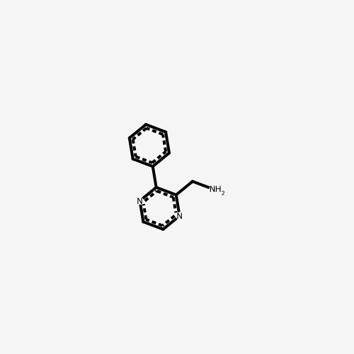 NCc1nccnc1-c1ccccc1